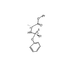 CC[P@](=S)(N[C@H](C)C(=O)OC(C)C)Oc1ccccc1